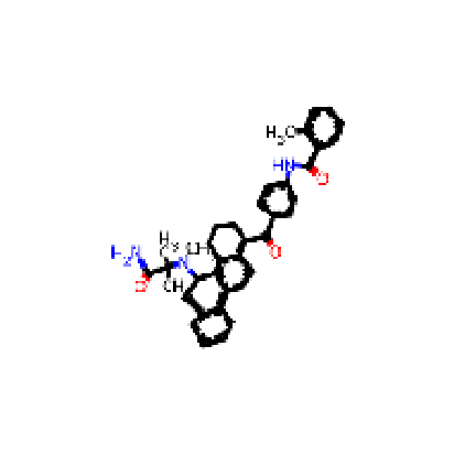 Cc1ccccc1C(=O)Nc1ccc(C(=O)C2=c3ccc4c(c3CCC2)C(N(C)C(C)(C)C(N)=O)C=c2ccccc2=4)cc1